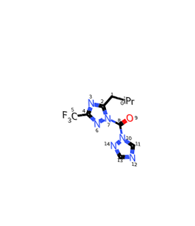 CC(C)Cc1nc(C(F)(F)F)nn1C(=O)n1cncn1